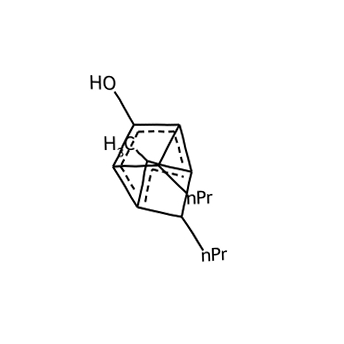 CCCC1c2c(C)c1c1c(O)c2C1CCC